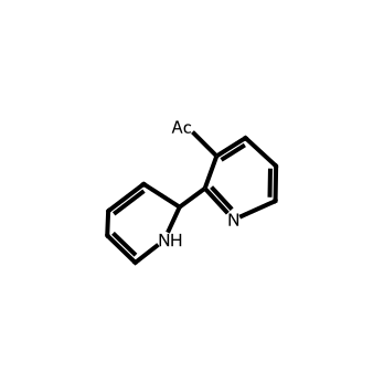 CC(=O)c1cccnc1C1C=CC=CN1